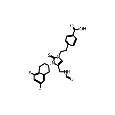 O=CNCc1cn(CCc2ccc(C(=O)O)cc2)c(=S)n1[C@H]1CCc2c(F)cc(F)cc2C1